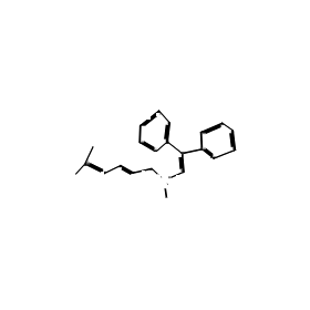 CC(C)=CC=CCN(C)C=C(c1ccccc1)c1ccccc1